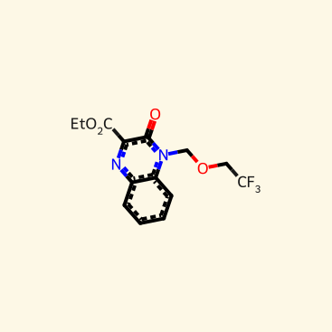 CCOC(=O)c1nc2ccccc2n(COCC(F)(F)F)c1=O